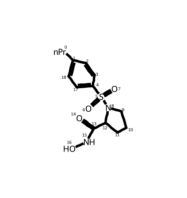 CCCc1ccc(S(=O)(=O)N2CCCC2C(=O)NO)cc1